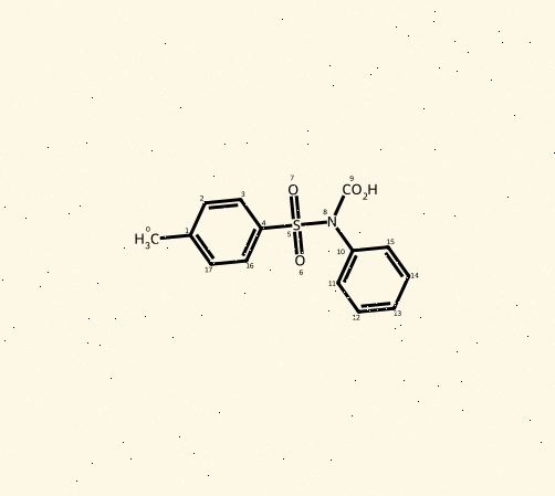 Cc1ccc(S(=O)(=O)N(C(=O)O)c2ccccc2)cc1